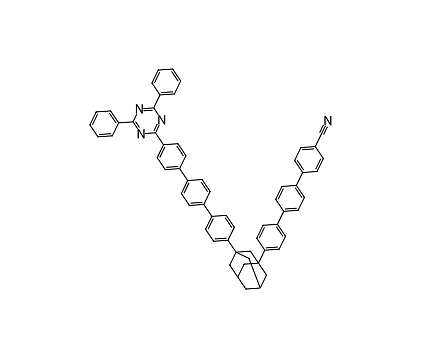 N#Cc1ccc(-c2ccc(-c3ccc(C45CC6CC(C4)CC(c4ccc(-c7ccc(-c8ccc(-c9nc(-c%10ccccc%10)nc(-c%10ccccc%10)n9)cc8)cc7)cc4)(C6)C5)cc3)cc2)cc1